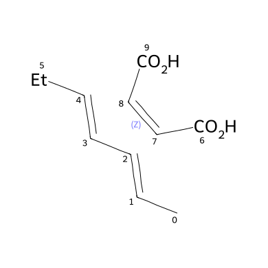 CC=CC=CCC.O=C(O)/C=C\C(=O)O